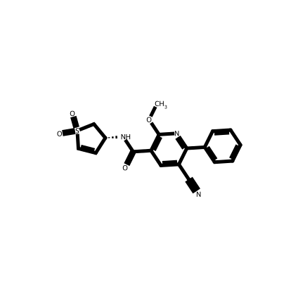 COc1nc(-c2ccccc2)c(C#N)cc1C(=O)N[C@@H]1C=CS(=O)(=O)C1